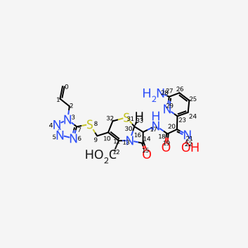 C=CCn1nnnc1SCC1=C(C(=O)O)N2C(=O)C(NC(=O)/C(=N\O)c3cccc(N)n3)[C@H]2SC1